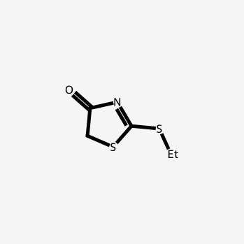 CCSC1=NC(=O)CS1